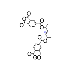 CC(/C=C/C(C)OC(=O)c1ccc2c(c1)C(=O)OC2=O)OC(=O)c1ccc2c(c1)COOC2=O